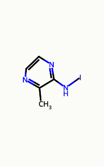 Cc1nccnc1NI